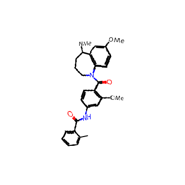 CNC1CCCN(C(=O)c2ccc(NC(=O)c3ccccc3C)cc2OC)c2ccc(OC)cc21